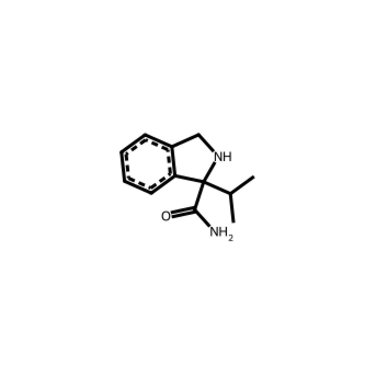 CC(C)C1(C(N)=O)NCc2ccccc21